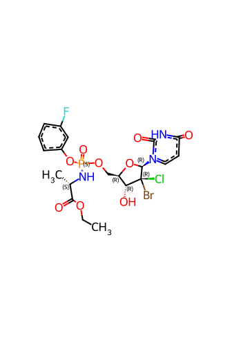 CCOC(=O)[C@H](C)N[P@](=O)(OC[C@H]1O[C@@H](n2ccc(=O)[nH]c2=O)[C@](Cl)(Br)[C@@H]1O)Oc1cccc(F)c1